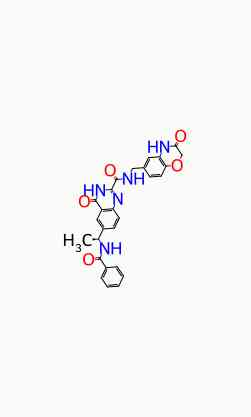 C[C@H](NC(=O)c1ccccc1)c1ccc2nc(C(=O)NCc3ccc4c(c3)NC(=O)CO4)[nH]c(=O)c2c1